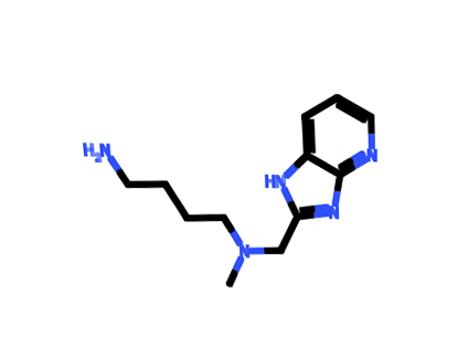 CN(CCCCN)Cc1nc2ncccc2[nH]1